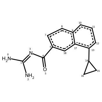 NC(N)=NC(=O)c1ccc2cccc(C3CC3)c2c1